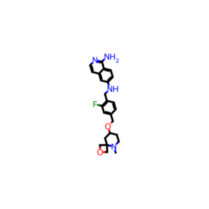 CN1CCC(OCc2ccc(CNc3ccc4c(N)nccc4c3)c(F)c2)CC12COC2